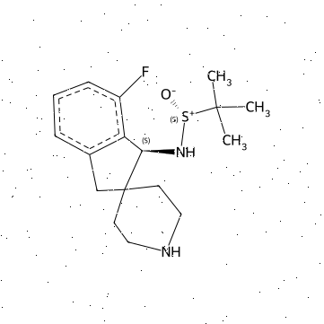 CC(C)(C)[S@@+]([O-])N[C@@H]1c2c(F)cccc2CC12CCNCC2